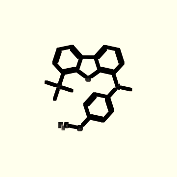 CN(c1ccc(OC(F)(F)F)cc1)c1cccc2c1oc1c([Si](C)(C)C)cccc12